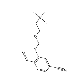 C[Si](C)(C)CCOCOc1cc(C#N)ccc1C=O